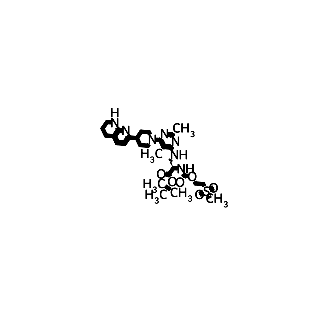 Cc1nc(NC[C@H](NC(=O)OCCS(C)(=O)=O)C(=O)OC(C)(C)C)c(C)c(N2CCC(c3ccc4c(n3)NCCC4)CC2)n1